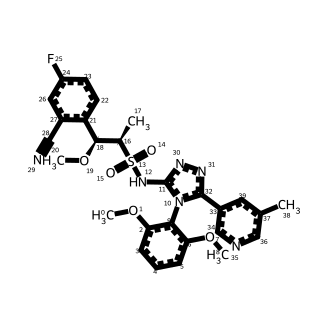 COc1cccc(OC)c1-n1c(NS(=O)(=O)[C@H](C)[C@@H](OC)c2ccc(F)cc2C#N)nnc1-c1cncc(C)c1